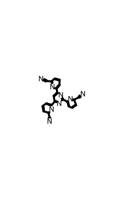 N#Cc1cccc(-c2cc(-c3cccc(C#N)n3)nc(-c3cccc(C#N)n3)n2)n1